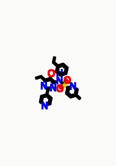 CCc1ccccc1Oc1c(CC)nc(-c2ccncc2)nc1NS(=O)(=O)c1ccc(C)cn1